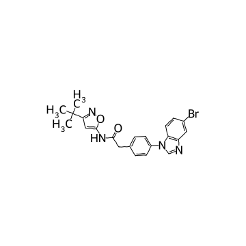 CC(C)(C)c1cc(NC(=O)Cc2ccc(-n3cnc4cc(Br)ccc43)cc2)on1